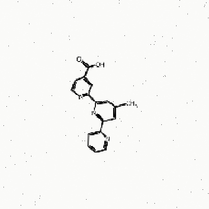 Cc1cc(-c2ccccn2)nc(-c2cc(C(=O)O)ccn2)c1